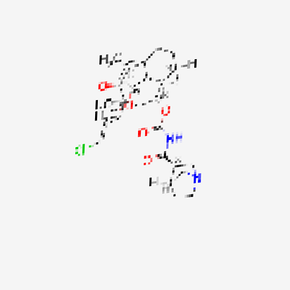 CO[C@@H]1CCC23CC[C@H]4C[C@@]4(C12)[C@H](OC(=O)NC(=O)[C@H]1CN2CC[C@@H]1C2)C[C@@](C)(CC=CCl)C(=O)[C@@H]3C